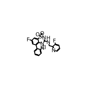 O=S1(=O)N=C(NCc2ncccc2F)Nc2c(-c3ccccc3Cl)cc(F)cc21